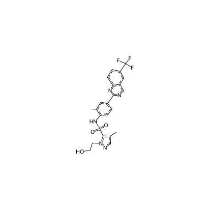 Cc1cc(-c2ncc3cc(C(F)(F)F)ccc3n2)ccc1NS(=O)(=O)c1c(C)cnn1CCO